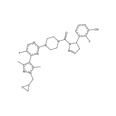 Cc1nn(CC2CO2)c(C)c1-c1nc(N2CCN(C(=O)N3N=CCC3c3cccc(C#N)c3F)CC2)ncc1F